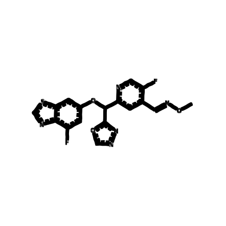 CO/N=C/c1cc(C(Oc2cc(F)c3ncsc3c2)c2nnco2)ncc1F